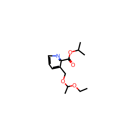 CCOC(C)OCc1cccnc1C(=O)OC(C)C